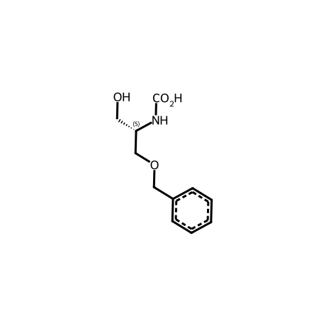 O=C(O)N[C@@H](CO)COCc1ccccc1